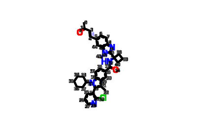 CC(=O)/C=C/c1ccc2nc(C3(NC(=O)c4ccc5c(c4)c(C)c(-c4cccnc4Cl)n5C4CCCCC4)CCC3)n(C)c2c1